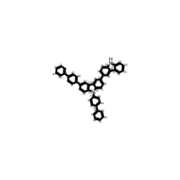 c1ccc(-c2ccc(-c3ccc4c(c3)c3cc(-c5ccc6[nH]c7ccccc7c6c5)ccc3n4-c3ccc(-c4ccccc4)cc3)cc2)cc1